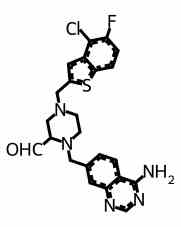 Nc1ncnc2cc(CN3CCN(Cc4cc5c(Cl)c(F)ccc5s4)CC3C=O)ccc12